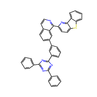 c1ccc(-c2nc(-c3ccccc3)nc(-c3cccc(-c4ccc5ccnc(-c6ccc7sc8ccccc8c7n6)c5c4)c3)n2)cc1